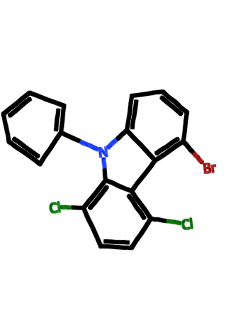 Clc1ccc(Cl)c2c1c1c(Br)cccc1n2-c1ccccc1